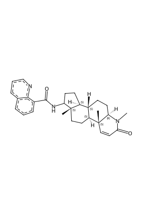 CN1C(=O)C=C[C@]2(C)[C@H]3CC[C@]4(C)C(NC(=O)c5cccc6cccnc56)CC[C@H]4[C@@H]3CC[C@@H]12